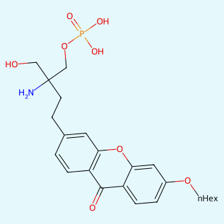 CCCCCCOc1ccc2c(=O)c3ccc(CCC(N)(CO)COP(=O)(O)O)cc3oc2c1